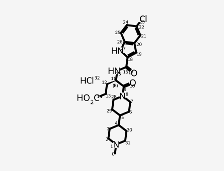 CN1CCC(C2CCN(C(=O)[C@@H](CCC(=O)O)NC(=O)c3cc4cc(Cl)ccc4[nH]3)CC2)CC1.Cl